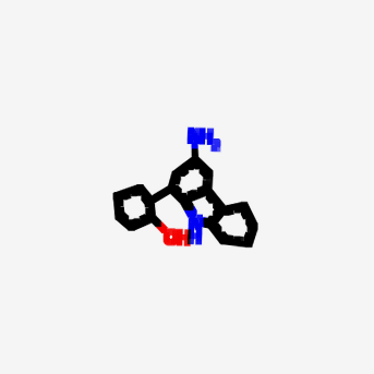 Nc1cc(-c2ccccc2O)c2[nH]c3ccccc3c2c1